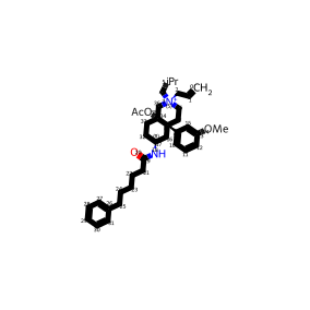 C=CC[N@@+]1(CC(C)C)CC[C@]2(c3cccc(OC)c3)C[C@H](NC(=O)CCCCCc3ccccc3)CCC2(OC(C)=O)C1